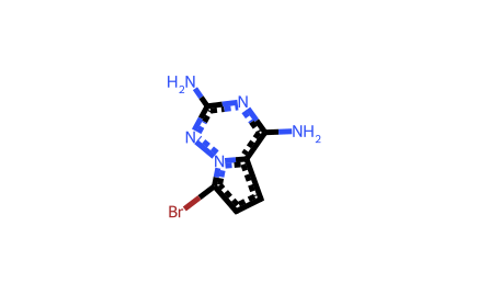 Nc1nc(N)c2ccc(Br)n2n1